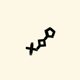 CS(=O)(=O)OC1CN(C2=NCCS2)C1